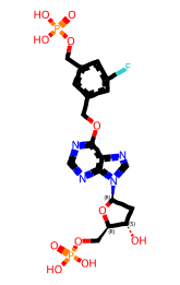 O=P(O)(O)OCc1cc(F)cc(COc2ncnc3c2ncn3[C@H]2C[C@H](O)[C@@H](COP(=O)(O)O)O2)c1